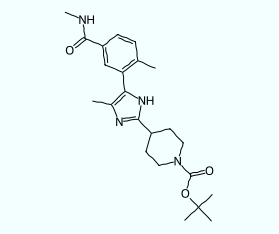 CNC(=O)c1ccc(C)c(-c2[nH]c(C3CCN(C(=O)OC(C)(C)C)CC3)nc2C)c1